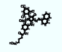 CCCCCCCCCCCCCC(=O)Nc1ccc(OC)c(Nc2[nH]n(-c3c(Cl)cc(Cl)cc3Cl)c(=O)c2N=Nc2cccc3ccccc23)c1